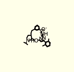 Cc1cccc(C)c1-c1cc2nc(n1)N[S+]([O-])c1cccc(c1)CCC1CCN(C(C)C)C[C@@H]1CO2